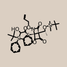 C=CCON1C(=O)[C@@]2([C@@H](C)O[Si](C)(C)C(C)(C)C)C(=O)C(=O)[C@]12SC(=O)C(O)[Si](c1ccccc1)(c1ccccc1)C(C)(C)C